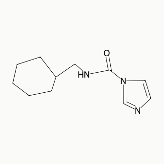 O=C(NCC1CCCCC1)n1ccnc1